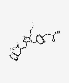 CCCCc1ncc(C=C(Cc2cccs2)C(=O)O)n1Cc1ccc(CC(=O)O)cc1